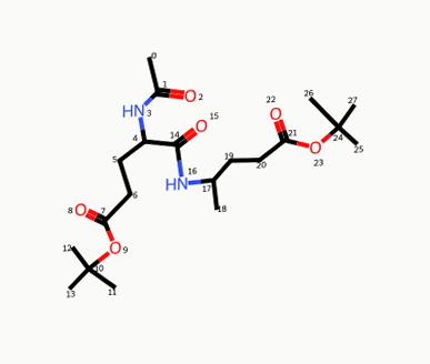 CC(=O)NC(CCC(=O)OC(C)(C)C)C(=O)NC(C)CCC(=O)OC(C)(C)C